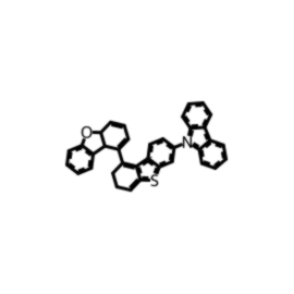 C1=CC2Oc3ccccc3C2C(C2=c3c(sc4cc(-n5c6ccccc6c6ccccc65)ccc34)=CCC2)=C1